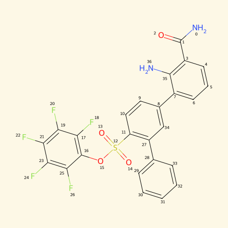 NC(=O)c1cccc(-c2ccc(S(=O)(=O)Oc3c(F)c(F)c(F)c(F)c3F)c(-c3ccccc3)c2)c1N